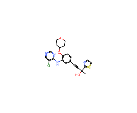 CC(O)(C#Cc1ccc(OC2CCOCC2)c(Nc2ncncc2Cl)c1)c1nccs1